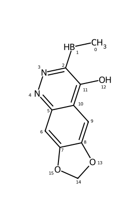 CBc1nnc2cc3c(cc2c1O)OCO3